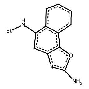 CCNc1cc2nc(N)oc2c2ccccc12